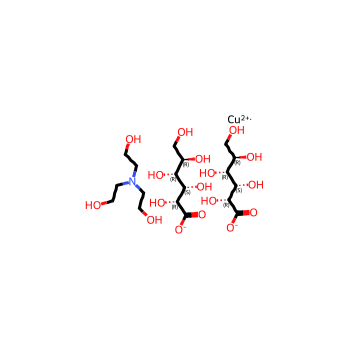 O=C([O-])[C@H](O)[C@@H](O)[C@H](O)[C@H](O)CO.O=C([O-])[C@H](O)[C@@H](O)[C@H](O)[C@H](O)CO.OCCN(CCO)CCO.[Cu+2]